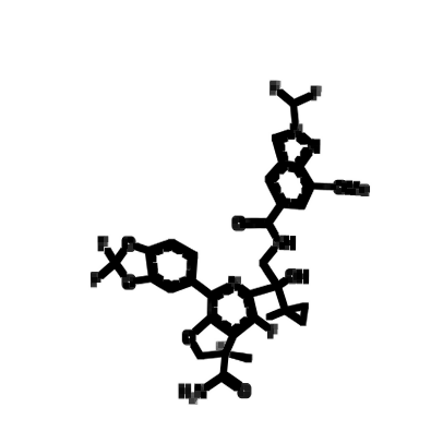 COc1cc(C(=O)NCC(O)(c2nc(-c3ccc4c(c3)OC(F)(F)O4)c3c(c2F)[C@](C)(C(N)=O)CO3)C2(C)CC2)cc2cn(C(F)F)nc12